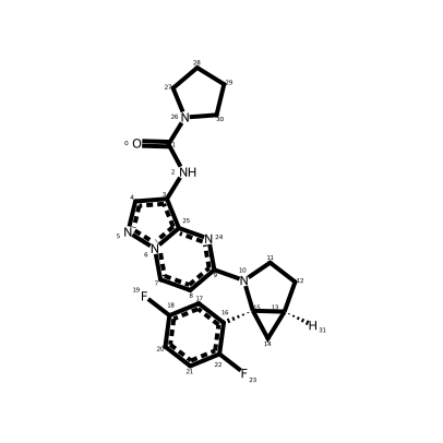 O=C(Nc1cnn2ccc(N3CC[C@H]4C[C@]43c3cc(F)ccc3F)nc12)N1CCCC1